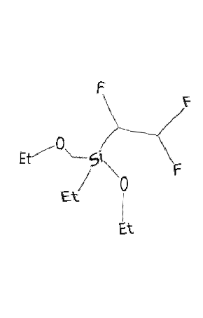 CCO[Si](CC)(OCC)C(F)C(F)F